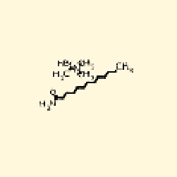 Br.CCCCCCCCCCCCC(N)=O.CCN(C)C